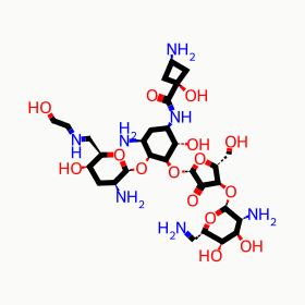 NC[C@@H]1O[C@H](O[C@H]2C(=O)[C@H](O[C@@H]3[C@@H](O)[C@H](NC(=O)[C@]4(O)C[C@H](N)C4)C[C@H](N)[C@H]3O[C@H]3O[C@H](CNCCO)[C@@H](O)C[C@H]3N)O[C@@H]2CO)[C@H](N)[C@@H](O)[C@@H]1O